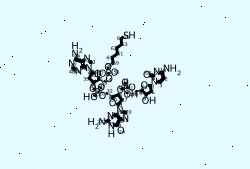 Nc1ccn([C@H]2CC(O)[C@@H](COP(=O)(O)OC3C[C@H](n4cnc5c(=O)[nH]c(N)nc54)O[C@@H]3COP(=O)(O)OC3C[C@H](n4cnc5c(N)ncnc54)O[C@@H]3COP(=O)(O)OCCCCCCS)O2)c(=O)n1